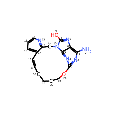 Nc1nc2nc3c1nc(O)n3Cc1ncccc1/C=C\CCCCO2